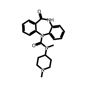 CN1CCC(N(C)C(=O)N2c3ccccc3NC(=O)c3ccccc32)CC1